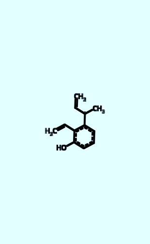 C=C[C](C)c1cccc(O)c1C=C